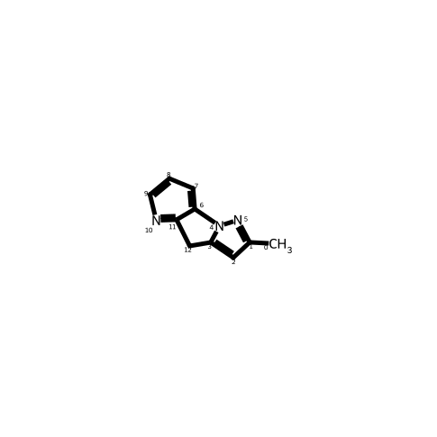 Cc1cc2n(n1)-c1cccnc1C2